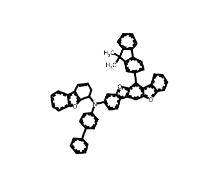 CC1(C)c2ccccc2-c2ccc(-c3c4oc5cc(N(c6ccc(-c7ccccc7)cc6)C6CC=Cc7c6oc6ccccc76)ccc5c4cc4oc5ccccc5c34)cc21